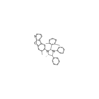 Cc1cc2oc3ncccc3c2cc1N1C(c2c(C)cccc2C)N(c2ccccc2)C(c2ccccc2)[C@@H]1C